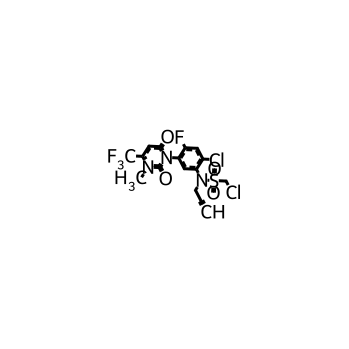 C#CCN(c1cc(-n2c(=O)cc(C(F)(F)F)n(C)c2=O)c(F)cc1Cl)S(=O)(=O)CCl